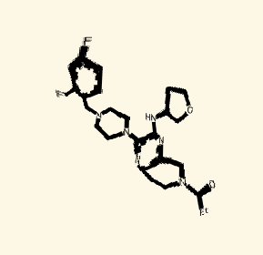 CCC(=O)N1CCc2nc(N3CCN(Cc4ccc(F)cc4F)CC3)c(NC3CCOC3)nc2C1